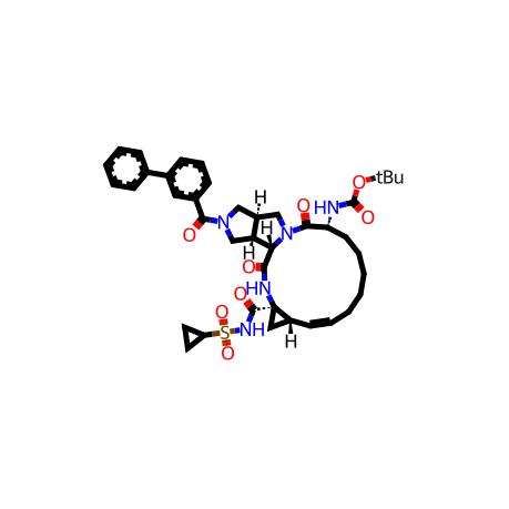 CC(C)(C)OC(=O)N[C@@H]1CCCCC/C=C\[C@@H]2C[C@@]2(C(=O)NS(=O)(=O)C2CC2)NC(=O)[C@@H]2[C@H]3CN(C(=O)c4cccc(-c5ccccc5)c4)C[C@H]3CN2C1=O